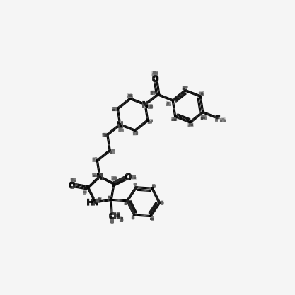 CC1(c2ccccc2)NC(=O)N(CCCN2CCN(C(=O)c3ccc(F)cc3)CC2)C1=O